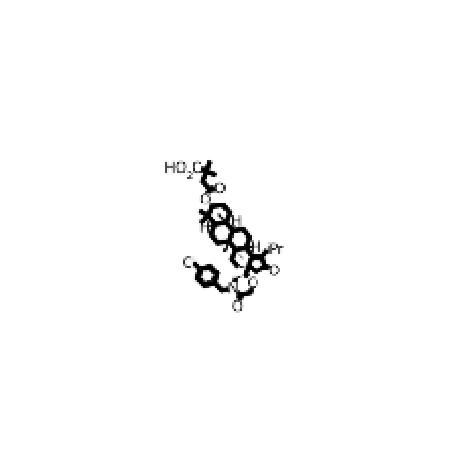 CC(C)C1=C2[C@H]3CC[C@@H]4[C@@]5(C)CC[C@H](OC(=O)CC(C)(C)C(=O)O)C(C)(C)[C@@H]5CC[C@@]4(C)[C@]3(C)CC[C@@]2([C@H]2CN(Cc3ccc(Cl)cc3)C(=O)CO2)CC1=O